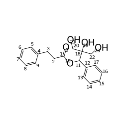 O=C(CCc1ccccc1)OC(c1ccccc1)C(O)(CO)CO